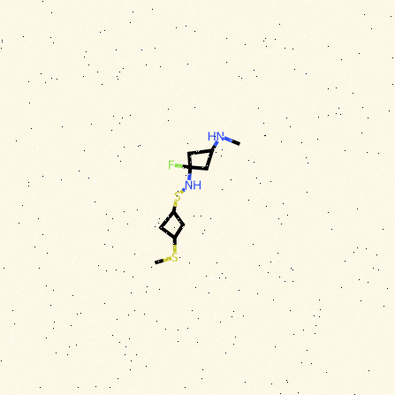 CNC1CC(F)(NSC2CC(SC)C2)C1